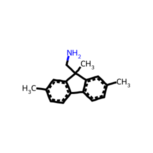 Cc1ccc2c(c1)C(C)(CN)c1cc(C)ccc1-2